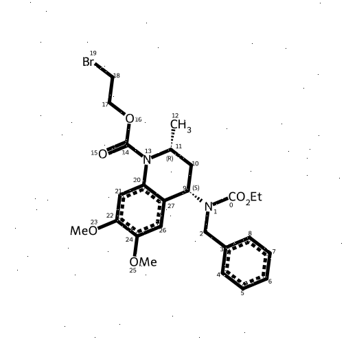 CCOC(=O)N(Cc1ccccc1)[C@H]1C[C@@H](C)N(C(=O)OCCBr)c2cc(OC)c(OC)cc21